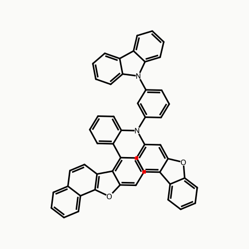 c1cc(N(c2ccc3c(c2)oc2ccccc23)c2ccccc2-c2cccc3oc4c5ccccc5ccc4c23)cc(-n2c3ccccc3c3ccccc32)c1